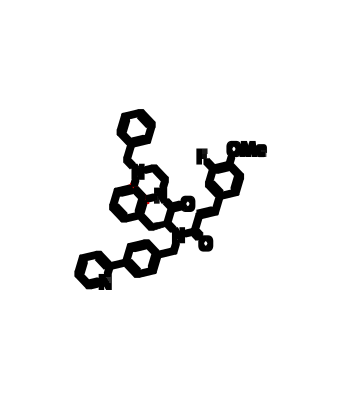 COc1ccc(C=CC(=O)N(Cc2ccc(-c3ccccn3)cc2)[C@@H](Cc2ccccc2)C(=O)N2CCN(Cc3ccccc3)CC2)cc1F